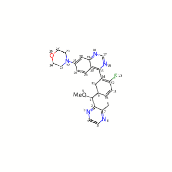 COC(c1nccnc1C)C1C=CC(F)=C(c2ncnc3cc(N4CCOCC4)ccc23)C1